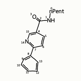 CCCCCNC(=O)c1ccc(-c2ccccc2)nc1